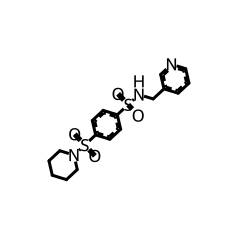 O=S(=O)(NCc1cccnc1)c1ccc(S(=O)(=O)N2CCCCC2)cc1